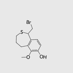 COc1c(O)ccc2c1CCCSC2CBr